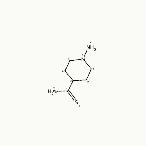 NC(=S)C1CCN(N)CC1